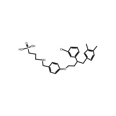 Cc1ccc(CC(CCOc2ccc(CNCCCP(=O)(O)O)cc2)c2cccc(Cl)c2)cc1C